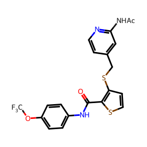 CC(=O)Nc1cc(CSc2ccsc2C(=O)Nc2ccc(OC(F)(F)F)cc2)ccn1